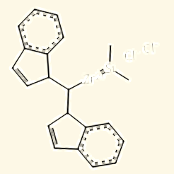 C[Si](C)=[Zr+2][CH](C1C=Cc2ccccc21)C1C=Cc2ccccc21.[Cl-].[Cl-]